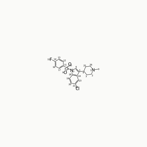 CN1CCC(c2cn(S(=O)(=O)c3ccc(F)cc3)c3ccc(Cl)cc23)CC1